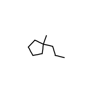 C[CH]CC1(C)CCCC1